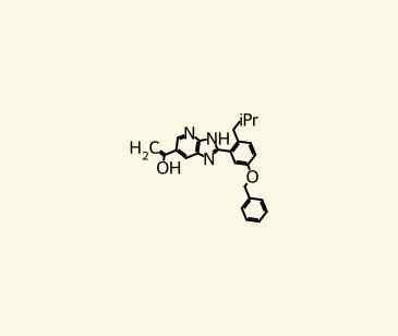 C=C(O)c1cnc2[nH]c(-c3cc(OCc4ccccc4)ccc3CC(C)C)nc2c1